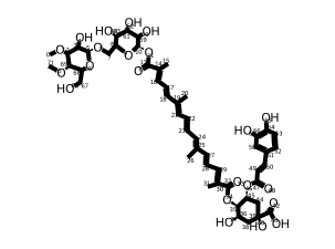 COC1C(O)[C@H](OCC2O[C@@H](OC(=O)/C(C)=C/C=C/C(C)=C/C=C/C=C(C)/C=C/C=C(\C)C(=O)O[C@@H]3[C@H](O)C[C@@](O)(C(=O)O)C[C@H]3OC(=O)/C=C/c3ccc(O)c(O)c3)C(O)C(O)[C@@H]2O)OC(CO)[C@H]1OC